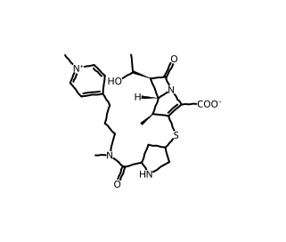 CC(O)[C@H]1C(=O)N2C(C(=O)[O-])=C(SC3CNC(C(=O)N(C)CCCc4cc[n+](C)cc4)C3)[C@@H](C)[C@H]12